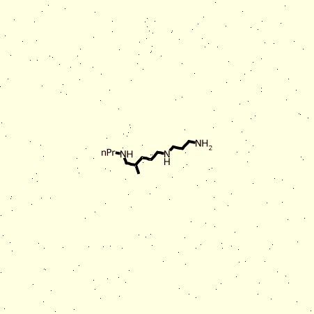 CCCNCC(C)CCCNCCCN